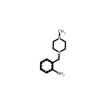 CN1CCN([CH]c2ccccc2N)CC1